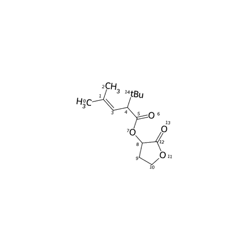 CC(C)=CC(C(=O)OC1CCOC1=O)C(C)(C)C